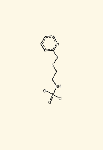 O=P(Cl)(Cl)NCCSSc1ccccn1